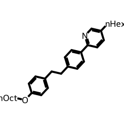 CCCCCCCCOc1ccc(CCc2ccc(-c3ccc(CCCCCC)cn3)cc2)cc1